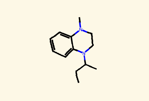 CCC(C)N1CCN(C)c2ccccc21